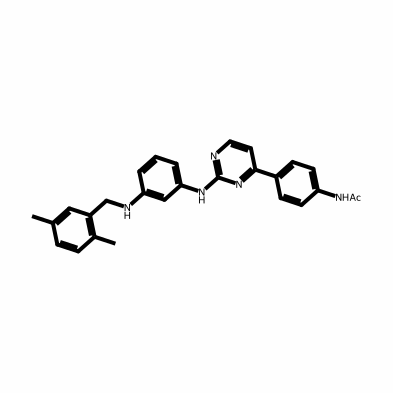 CC(=O)Nc1ccc(-c2ccnc(Nc3cccc(NCc4cc(C)ccc4C)c3)n2)cc1